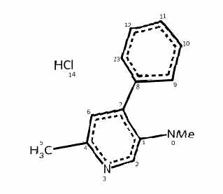 CNc1cnc(C)cc1-c1ccccc1.Cl